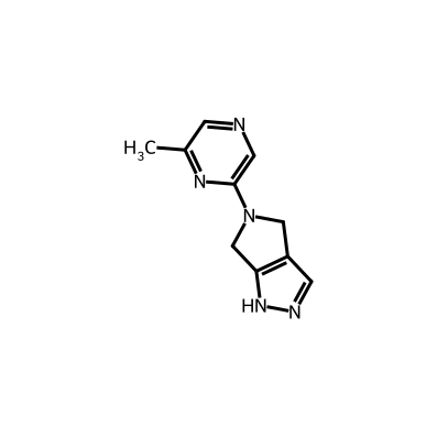 Cc1cncc(N2Cc3cn[nH]c3C2)n1